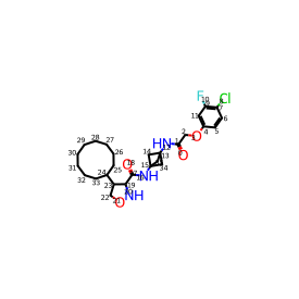 O=C(COc1ccc(Cl)c(F)c1)NC12CC(NC(=O)C3NOCC3C3CCCCCCCCC3)(C1)C2